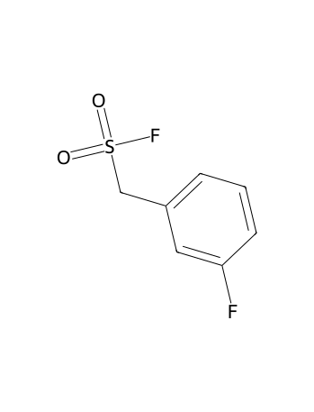 O=S(=O)(F)Cc1cccc(F)c1